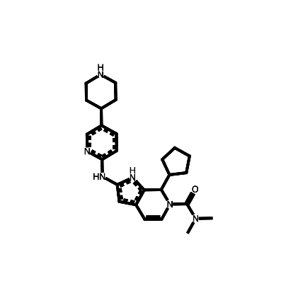 CN(C)C(=O)N1C=Cc2cc(Nc3ccc(C4CCNCC4)cn3)[nH]c2C1C1CCCC1